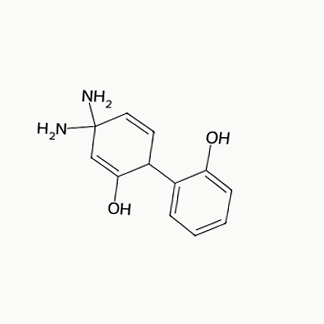 NC1(N)C=CC(c2ccccc2O)C(O)=C1